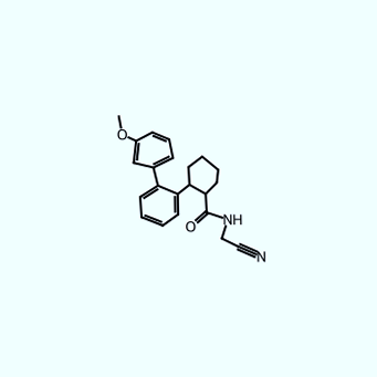 COc1cccc(-c2ccccc2C2CCCCC2C(=O)NCC#N)c1